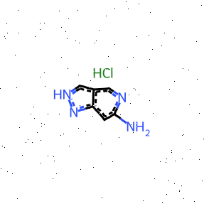 Cl.Nc1cc2n[nH]cc2cn1